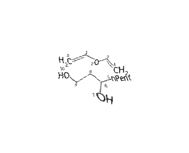 C=COC=C.CCCCCC(O)CCO